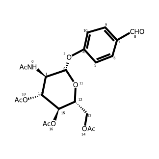 CC(=O)N[C@H]1[C@H](Oc2ccc(C=O)cc2)O[C@H](COC(C)=O)[C@@H](OC(C)=O)[C@@H]1OC(C)=O